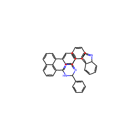 C1=CC2=C(c3ccc(-c4cccc5cccc(C6=NC(c7ccccc7)=NC(c7ccccc7)N6)c45)cc3)C=NC2C=C1